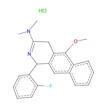 COc1c2c(cc3ccccc13)C(c1ccccc1F)N=C(N(C)C)C2.Cl